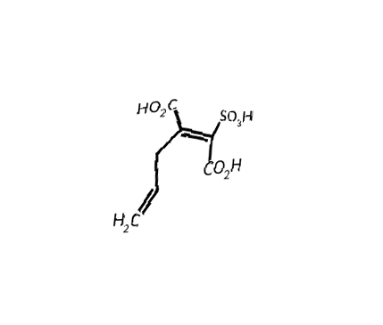 C=CCC(C(=O)O)=C(C(=O)O)S(=O)(=O)O